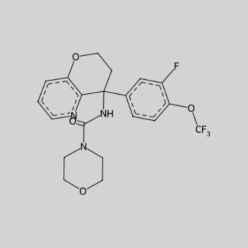 O=C(NC1(c2ccc(OC(F)(F)F)c(F)c2)CCOc2cccnc21)N1CCOCC1